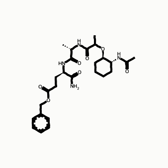 CC(=O)N[C@@H]1CCCC[C@H]1OC(C)C(=O)N[C@@H](C)C(=O)N[C@H](CCC(=O)OCc1ccccc1)C(N)=O